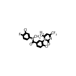 Cc1cc(C(F)(F)F)nc(=O)n1-c1cc(C(=O)N(C)c2ccc(F)c(Cl)c2)ccc1Cl